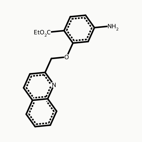 CCOC(=O)c1ccc(N)cc1OCc1ccc2ccccc2n1